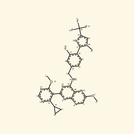 COc1cnc2nc(-c3c(OC)ncnc3C3CC3)nc(NCc3ccc(-c4nc(C(F)(F)F)cn4C)c(F)c3)c2n1